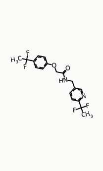 CC(F)(F)c1ccc(OCC(=O)NCc2ccc(C(C)(F)F)nc2)cc1